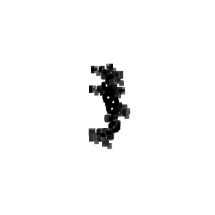 CCO[C@@H]([C@H]1C[C@@H](C)[C@H]2[C@H](O1)[C@H](O)C1[C@@H]3CC[C@H]4C(C)(C)[C@@H](OC(=O)[C@H]5CN(C(=O)OC(C)(C)C)CCO5)CCC45C[C@@]35CC[C@@]12C)C(C)(C)O